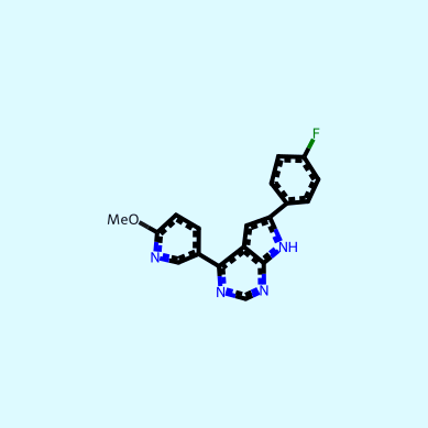 COc1ccc(-c2ncnc3[nH]c(-c4ccc(F)cc4)cc23)cn1